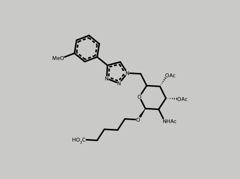 COc1cccc(-c2cn(CC3O[C@H](OCCCCC(=O)O)C(NC(C)=O)[C@@H](OC(C)=O)[C@H]3OC(C)=O)nn2)c1